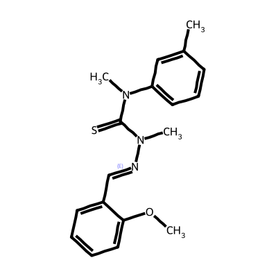 COc1ccccc1/C=N/N(C)C(=S)N(C)c1cccc(C)c1